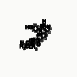 CC(C)(C)c1nc(C(=O)NCc2ccc(-c3ccnc4[nH]nc(NC5CCC(O)CC5)c34)cc2F)no1